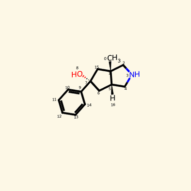 C[C@@]12CNC[C@@H]1C[C@@](O)(c1ccccc1)C2